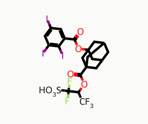 O=C(OC12CC3CC(C1)CC(C(=O)OC(C(F)(F)F)C(F)(F)S(=O)(=O)O)(C3)C2)c1cc(I)cc(I)c1I